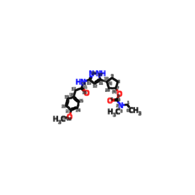 CCN(C)C(=O)O[C@@H]1CC[C@H](c2cc(NC(=O)Cc3ccc(OC)cc3)n[nH]2)C1